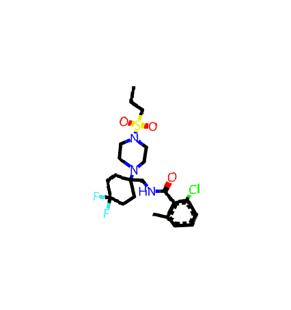 CCCS(=O)(=O)N1CCN(C2(CNC(=O)c3c(C)cccc3Cl)CCC(F)(F)CC2)CC1